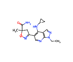 CCn1ncc2c(NC3CC3)c(C3=NOC(C)(C(N)=O)C3)cnc21